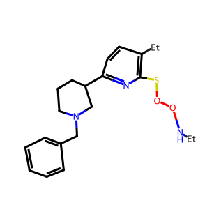 CCNOOSc1nc(C2CCCN(Cc3ccccc3)C2)ccc1CC